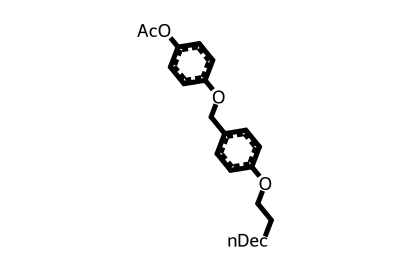 CCCCCCCCCCCCOc1ccc(COc2ccc(OC(C)=O)cc2)cc1